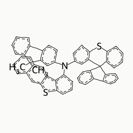 CC1(C)c2ccccc2-c2ccc(N(c3ccc4c(c3)C3(c5ccccc5S4)c4ccccc4-c4ccccc43)c3cccc4sc5cc6ccccc6cc5c34)cc21